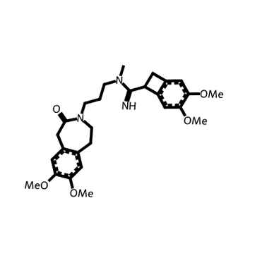 COc1cc2c(cc1OC)CC(=O)N(CCCN(C)C(=N)C1Cc3cc(OC)c(OC)cc31)CC2